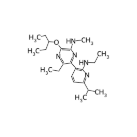 CCNc1nc(C(C)C)ccc1-c1nc(NC)c(OC(CC)CC)nc1CC